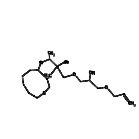 C=CCOCC(O)COCC(C)(C(C)C)C(C)OC1CCCCCCCC1